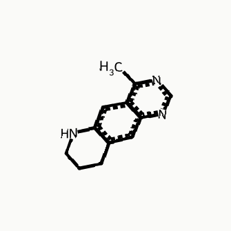 Cc1ncnc2cc3c(cc12)NCCC3